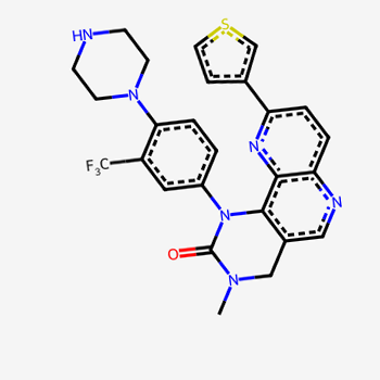 CN1Cc2cnc3ccc(-c4ccsc4)nc3c2N(c2ccc(N3CCNCC3)c(C(F)(F)F)c2)C1=O